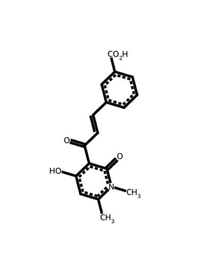 Cc1cc(O)c(C(=O)C=Cc2cccc(C(=O)O)c2)c(=O)n1C